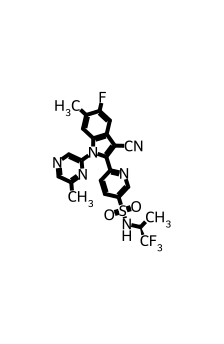 Cc1cncc(-n2c(-c3ccc(S(=O)(=O)N[C@@H](C)C(F)(F)F)cn3)c(C#N)c3cc(F)c(C)cc32)n1